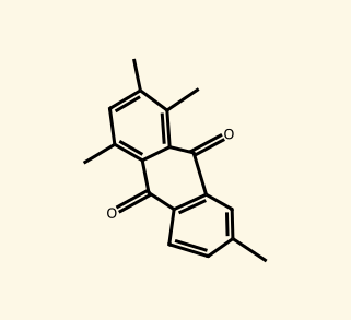 Cc1ccc2c(c1)C(=O)c1c(C)c(C)cc(C)c1C2=O